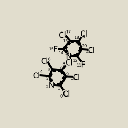 Clc1nc(Cl)c(Cl)c(Cl)c1Cl.Fc1nc(F)c(Cl)c(Cl)c1Cl